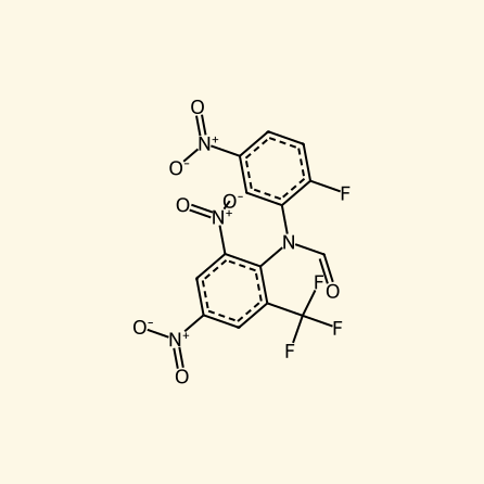 O=CN(c1cc([N+](=O)[O-])ccc1F)c1c([N+](=O)[O-])cc([N+](=O)[O-])cc1C(F)(F)F